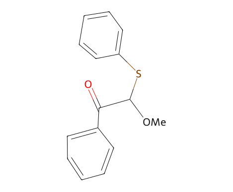 COC(Sc1ccccc1)C(=O)c1ccccc1